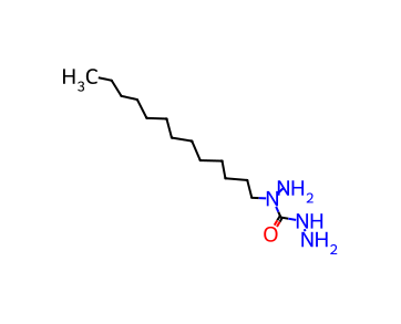 CCCCCCCCCCCCCN(N)C(=O)NN